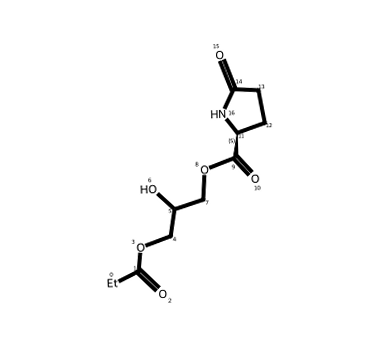 CCC(=O)OCC(O)COC(=O)[C@@H]1CCC(=O)N1